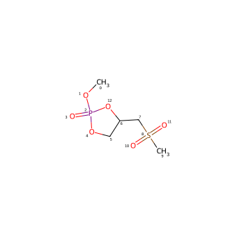 COP1(=O)OCC(CS(C)(=O)=O)O1